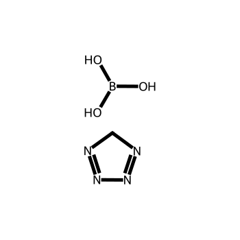 C1N=NN=N1.OB(O)O